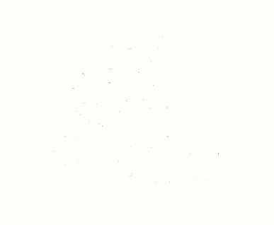 CC1(C)c2cc3ccccc3cc2-c2c(-c3ccccc3/C=C/C(NC(N)c3ccccc3)c3ccccc3-c3cccc4c3C(C)(C)c3ccccc3-4)cccc21